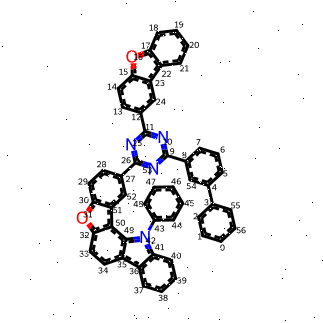 c1ccc(-c2cccc(-c3nc(-c4ccc5oc6ccccc6c5c4)nc(-c4ccc5oc6ccc7c8ccccc8n(-c8ccccc8)c7c6c5c4)n3)c2)cc1